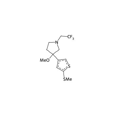 COC1(c2csc(SC)c2)CCN(CC(F)(F)F)C1